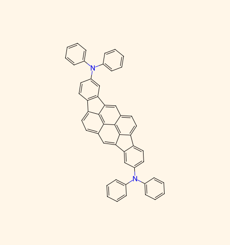 c1ccc(N(c2ccccc2)c2ccc3c(c2)c2cc4ccc5c6ccc(N(c7ccccc7)c7ccccc7)cc6c6cc7ccc3c2c7c4c56)cc1